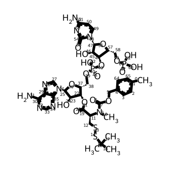 Cc1ccc(COC(=O)N(C)[C@@H](CSSC(C)(C)C)C(=O)O[C@H]2[C@@H](O)[C@H](n3cnc4c(N)ncnc43)O[C@@H]2COP(=O)(O)O[C@H]2[C@@H](O)[C@H](n3ccc(N)nc3=O)O[C@@H]2COP(=O)(O)O)cc1